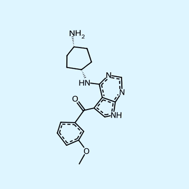 COc1cccc(C(=O)c2c[nH]c3ncnc(N[C@H]4CC[C@@H](N)CC4)c23)c1